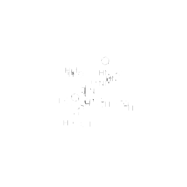 COC(=O)CCCCCNC(=O)[C@H](Cc1ccccc1)NC(=O)CNC(=O)[C@@H](CCSC)NC(=O)C(C)Nc1ccc(C)c(OC(=O)OCC(C)C)c1C.Cl.Cl.O